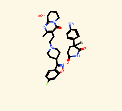 CCC1(c2ccc(N)cc2)CCC(=O)NC1=O.Cc1nc2n(c(=O)c1CCN1CCC(c3noc4cc(F)ccc34)CC1)CCC[C@H]2O